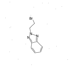 BrCCn1nc2ccccc2n1